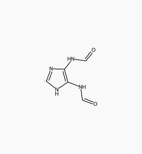 O=CNc1n[c][nH]c1NC=O